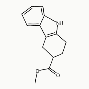 COC(=O)C1CCc2[nH]c3ccccc3c2C1